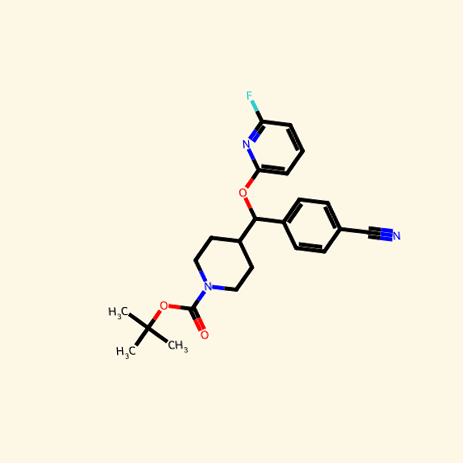 CC(C)(C)OC(=O)N1CCC(C(Oc2cccc(F)n2)c2ccc(C#N)cc2)CC1